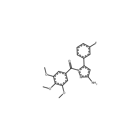 COc1cc(C(=O)n2nc(N)cc2-c2cccc(F)c2)cc(OC)c1OC